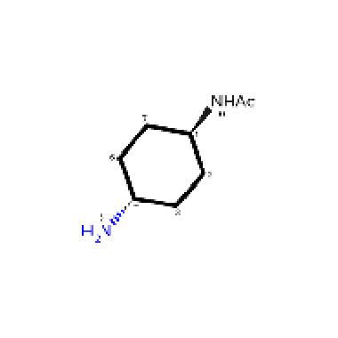 CC(=O)N[C@H]1CC[C@H](N)CC1